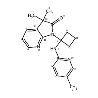 Cc1ccc(NC2(N3C(=O)C(C)(C)c4cccnc43)CCC2)nc1